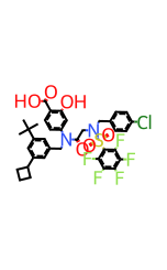 CC(C)(C)c1cc(CN(C(=O)CN(Cc2ccc(Cl)cc2)S(=O)(=O)c2c(F)c(F)c(F)c(F)c2F)c2ccc(C(=O)O)c(O)c2)cc(C2CCC2)c1